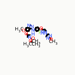 COc1ncc(N/C=C\C(=N)Oc2ccc(Nc3ncnc4cc(OC)c(OC5CN(C(=O)OC(C)(C)C)C5)cc34)cc2F)cn1